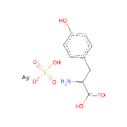 NC(Cc1ccc(O)cc1)C(=O)O.O=S(=O)([O-])O.[Ag+]